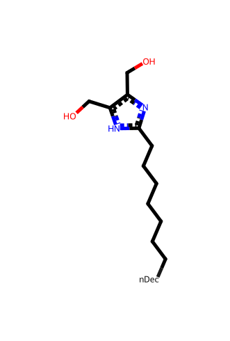 CCCCCCCCCCCCCCCCCc1nc(CO)c(CO)[nH]1